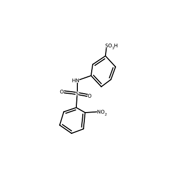 O=[N+]([O-])c1ccccc1S(=O)(=O)Nc1cccc(S(=O)(=O)O)c1